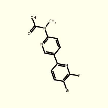 CN(C(=O)O)c1ccc(-c2ccc(Br)c(F)n2)cn1